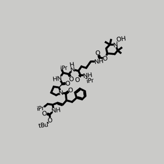 CC(C)CC(/C=C/C(Cc1ccccc1)C(=O)N1CCC[C@H]1C(=O)NC(C(=O)NC(CCCNC(=O)OC1CC(C)(C)N(O)C(C)(C)C1)C(=O)NC(C)C)C(C)C)NC(=O)OC(C)(C)C